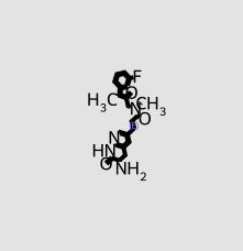 Cc1c(CN(C)C(=O)/C=C/c2cnc3c(c2)CC(N)C(=O)N3)oc2c(F)cccc12